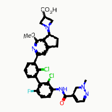 COc1nc(-c2cccc(-c3c(F)ccc(NC(=O)C4=CC=NN(C)C4)c3Cl)c2Cl)cc2c1C(N1CC(C(=O)O)C1)CC2